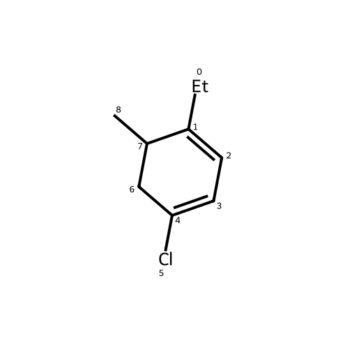 CCC1=CC=C(Cl)CC1C